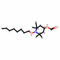 CCCCCCCCON1C(C)(C)CC(OC=O)CC1(C)C